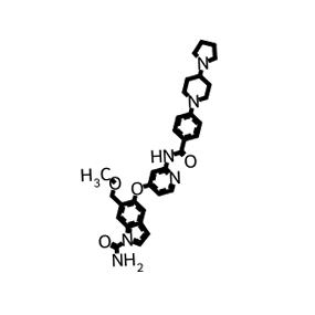 COCc1cc2c(ccn2C(N)=O)cc1Oc1ccnc(NC(=O)c2ccc(N3CCC(N4CCCC4)CC3)cc2)c1